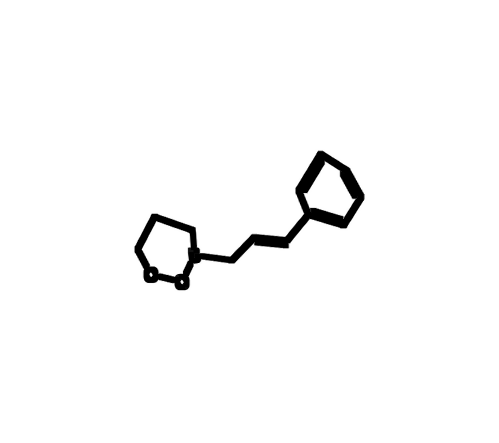 C(=Cc1ccccc1)CB1CCCOO1